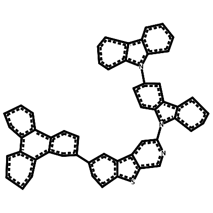 c1ccc2c(c1)c1ccccc1c1cc(-c3ccc4sc5cnc(-n6c7ccccc7c7cc(-n8c9ccccc9c9ccccc98)ccc76)cc5c4c3)ccc21